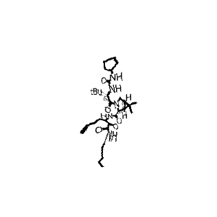 C=CCCNC(=O)C(=O)C(CCC=C)NC(=O)[C@@H]1[C@@H]2[C@H](CN1C(=O)[C@@H](NC(=O)NC1CCCCC1)C(C)(C)C)C2(C)C